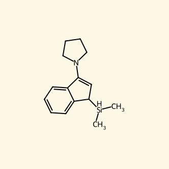 C[SiH](C)C1C=C(N2CCCC2)c2ccccc21